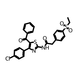 CCS(=O)(=O)c1ccc(CC(=O)Nc2nc(-c3ccc(Cl)cc3)c(C(=O)c3ccccc3)s2)cc1